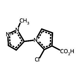 Cn1nccc1-n1ccc(C(=O)O)c1Cl